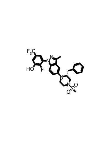 Cc1nn(-c2cc(C(F)(F)F)cc(O)c2F)c2ccc(N3CCN(S(C)(=O)=O)C[C@H]3Cc3ccccc3)cc12